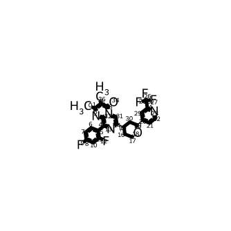 Cc1nc2c(-c3ccc(F)cc3F)nc([C@H]3CCO[C@@H](c4ccnc(C(F)(F)F)c4)C3)cn2c(=O)c1C